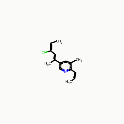 C/C=C\c1ncc(/C(C)=C/C(Cl)=C\C)cc1C